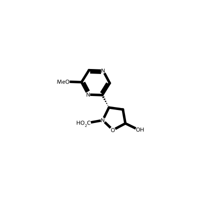 COc1cncc([C@@H]2CC(O)ON2C(=O)O)n1